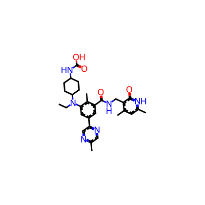 CCN(c1cc(-c2cnc(C)cn2)cc(C(=O)NCc2c(C)cc(C)[nH]c2=O)c1C)C1CCC(NC(=O)O)CC1